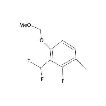 COCOc1ccc(C)c(F)c1C(F)F